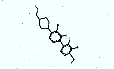 CCCC1CCC(c2ccc(-c3ccc(CC)c(F)c3F)c(F)c2F)CC1